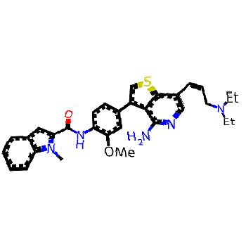 CCN(CC)C/C=C\c1cnc(N)c2c(-c3ccc(NC(=O)c4cc5ccccc5n4C)c(OC)c3)csc12